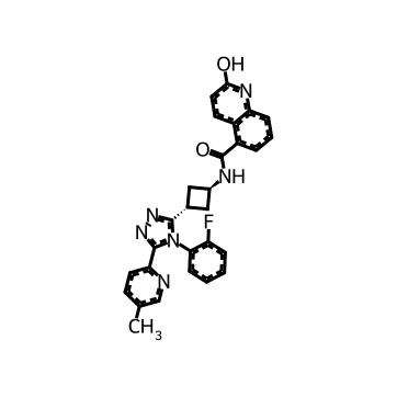 Cc1ccc(-c2nnc([C@H]3C[C@H](NC(=O)c4cccc5nc(O)ccc45)C3)n2-c2ccccc2F)nc1